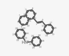 C(=Cc1cccc2ccccc12)c1ccccc1.c1ccc(Nc2ccccc2)cc1